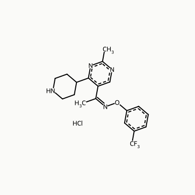 CC(=NOc1cccc(C(F)(F)F)c1)c1cnc(C)nc1C1CCNCC1.Cl